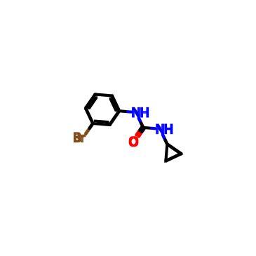 O=C(Nc1cccc(Br)c1)NC1CC1